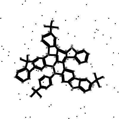 CC(C)(C)c1ccc(N2B3c4cc5c(cc4-n4c6ccc(C(C)(C)C)cc6c6c7oc8ccccc8c7c(c3c64)-c3cc4c(cc32)sc2ccc(C(C)(C)C)cc24)C(C)(C)c2ccccc2-5)cc1